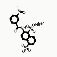 O=C(Nc1ccc2c(S(=O)(=O)[O-])cccc2c1S(=O)(=O)[O-])c1cccc([N+](=O)[O-])c1.[Na+].[Na+]